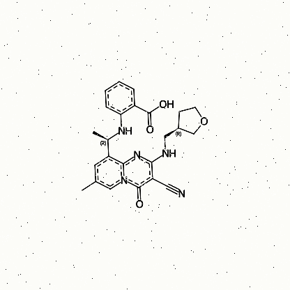 Cc1cc([C@@H](C)Nc2ccccc2C(=O)O)c2nc(NC[C@H]3CCOC3)c(C#N)c(=O)n2c1